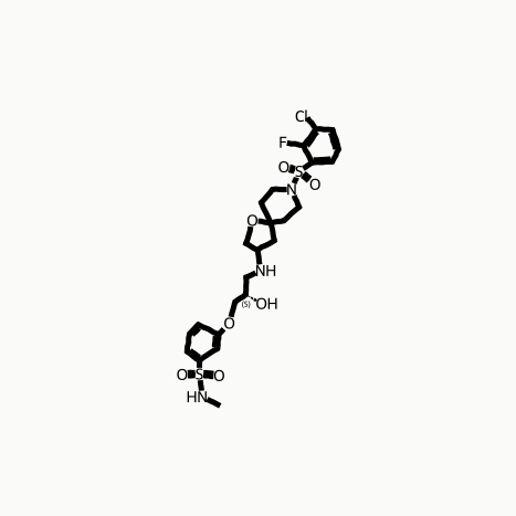 CNS(=O)(=O)c1cccc(OC[C@@H](O)CNC2COC3(CCN(S(=O)(=O)c4cccc(Cl)c4F)CC3)C2)c1